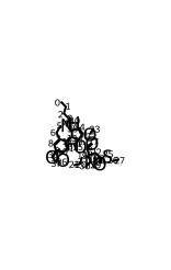 CCCCN1CCc2cc3c(cc2[C@@H]2[C@H](OC(=O)[C@@](CCC)(CC(=O)SCC)N(C)C)C(OC)=C[C@@H]21)OCO3